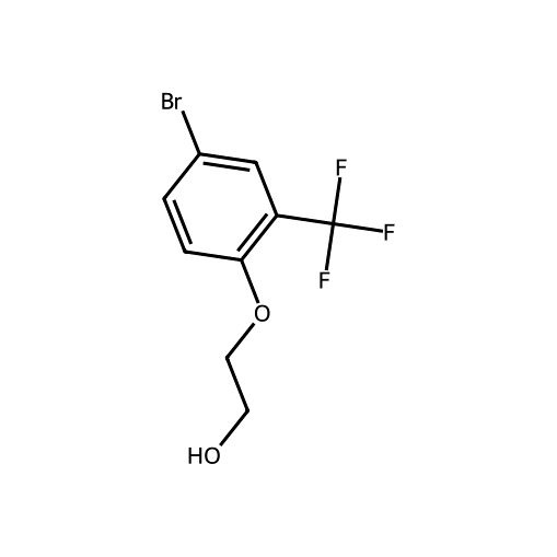 OCCOc1ccc(Br)cc1C(F)(F)F